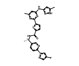 Cc1cc(Nc2cc(C)[nH]n2)nc(-c2ccc(C(=O)N[C@@H](C)c3ccc(-n4cc(F)cn4)nc3)s2)n1